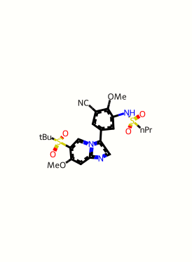 CCCS(=O)(=O)Nc1cc(-c2cnc3cc(OC)c(S(=O)(=O)C(C)(C)C)cn23)cc(C#N)c1OC